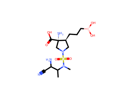 CC(C(N)C#N)N(C)S(=O)(=O)N1C[C@H](CCCB(O)O)[C@](N)(C(=O)O)C1